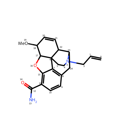 C=CCN1CCC23c4c5ccc(C(N)=O)c4OC2C(OC)C=CC3C1C5